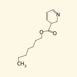 CCCCCCCOC(=O)C1C=CC=NC1